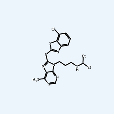 CCC(CC)NCCCn1c(Sc2nc3cccc(Cl)c3s2)nc2c(N)ncnc21